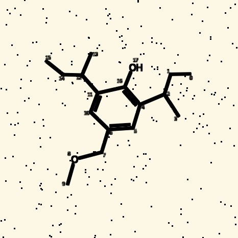 CCC(C)c1cc(COC)cc(C(C)CC)c1O